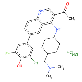 CC(=O)c1cnc2ccc(-c3cc(F)c(O)c(Cl)c3)cc2c1NC1CCC(CN(C)C)CC1.Cl.Cl